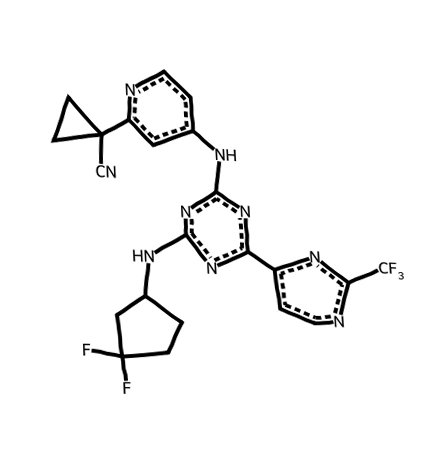 N#CC1(c2cc(Nc3nc(NC4CCC(F)(F)C4)nc(-c4ccnc(C(F)(F)F)n4)n3)ccn2)CC1